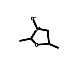 CC1C[S+]([O-])C(C)O1